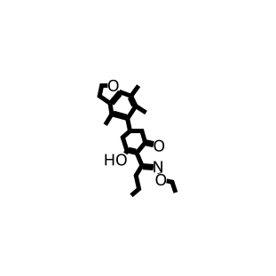 CCC/C(=N\OCC)C1=C(O)CC(c2c(C)c(C)c3c(c2C)CCO3)CC1=O